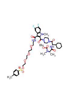 Cc1ccc(S(=O)(=O)OCCOCCOCCOCCNC(=O)c2c(C(=O)N3CCN(C(=O)[C@@H](NC(=O)[C@H](C)N(C)C(=O)OC(C)(C)C)C4CCCCC4)CC3)n(C)c3cc(F)c(F)cc23)cc1